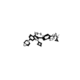 C[C@@H](OC(=O)Nc1ccc(-c2c(N)c3ccc(N4CCOCC4)cc3n2C2CCC2)cc1Cl)C1CC1